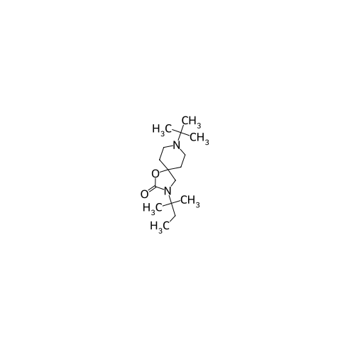 CCC(C)(C)N1CC2(CCN(C(C)(C)C)CC2)OC1=O